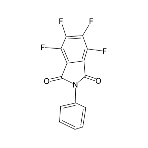 O=C1c2c(F)c(F)c(F)c(F)c2C(=O)N1c1ccccc1